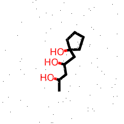 CC(O)CC(O)CC1(O)CCCC1